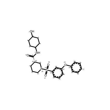 O=C(NC1CCC(O)CC1)[C@H]1CCCN(S(=O)(=O)c2cccc(Oc3ccccc3)c2)C1